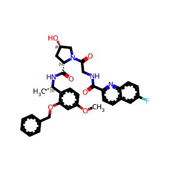 COc1ccc([C@H](C)NC(=O)[C@@H]2C[C@@H](O)CN2C(=O)CNC(=O)c2ccc3cc(F)ccc3n2)c(OCc2ccccc2)c1